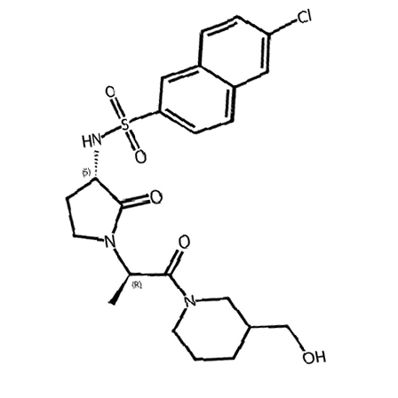 C[C@H](C(=O)N1CCCC(CO)C1)N1CC[C@H](NS(=O)(=O)c2ccc3cc(Cl)ccc3c2)C1=O